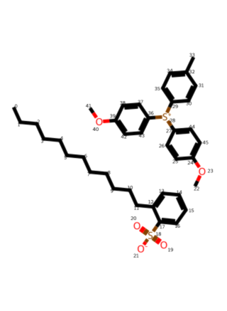 CCCCCCCCCCCCc1ccccc1S(=O)(=O)[O-].COc1ccc([S+](c2ccc(C)cc2)c2ccc(OC)cc2)cc1